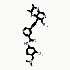 Cc1nc2cnc(N)c(C#Cc3cncc(C(=O)Nc4ccc(CN(C)C)c(C(F)(F)F)c4)c3)c2nc1C